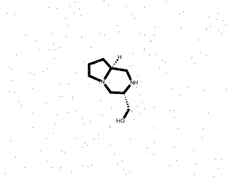 OC[C@@H]1CN2CCC[C@H]2CN1